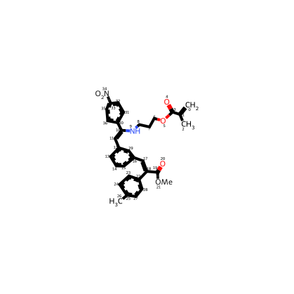 C=C(C)C(=O)OCCCNC(=Cc1cccc(C=C(C(=O)OC)c2ccc(C)cc2)c1)c1ccc([N+](=O)[O-])cc1